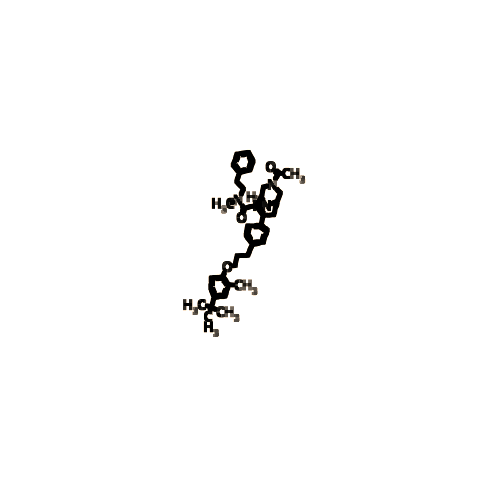 CC(=O)N1CC2CC(c3ccc(CCCOc4ccc(C(C)(C)C)cc4C)cc3)=C(C(=O)N(C)CCc3ccccc3)[C@@H](C1)N2